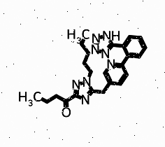 CCCCCn1nc(C(=O)CCC)nc1Cc1ccc(-c2ccccc2-c2nnn[nH]2)nc1